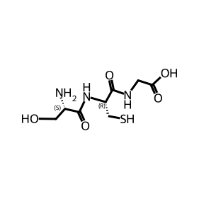 N[C@@H](CO)C(=O)N[C@@H](CS)C(=O)NCC(=O)O